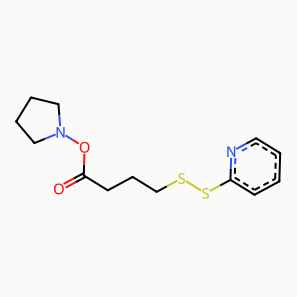 O=C(CCCSSc1ccccn1)ON1CCCC1